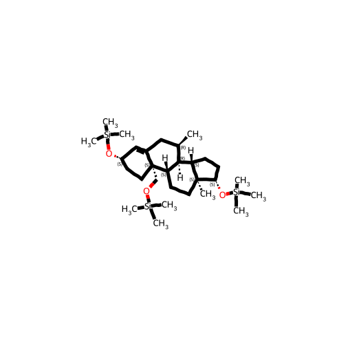 C[C@@H]1CC2=C[C@@H](O[Si](C)(C)C)CC[C@]2(CO[Si](C)(C)C)[C@H]2CC[C@]3(C)[C@@H](O[Si](C)(C)C)CC[C@H]3[C@H]12